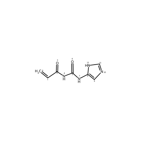 C=CC(=O)NC(=O)Nc1cnc[nH]1